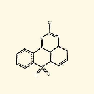 O=S1(=O)C2=C3C(=NC(Cl)=NC3CC=C2)c2ccccc21